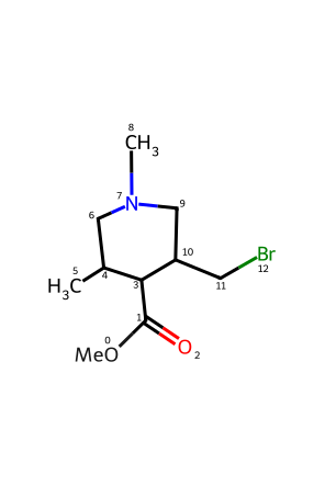 COC(=O)C1C(C)CN(C)CC1CBr